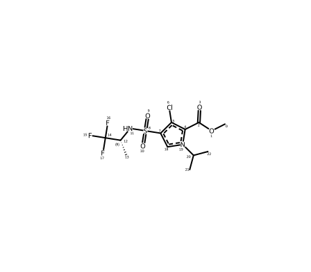 COC(=O)c1c(Cl)c(S(=O)(=O)N[C@H](C)C(F)(F)F)cn1C(C)C